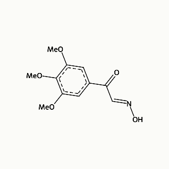 COc1cc(C(=O)C=NO)cc(OC)c1OC